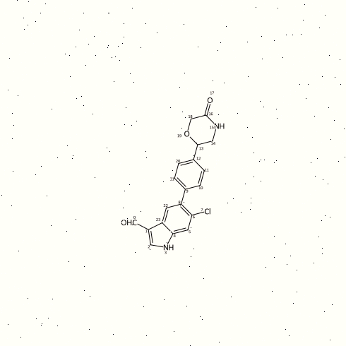 O=Cc1c[nH]c2cc(Cl)c(-c3ccc(C4CNC(=O)CO4)cc3)cc12